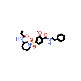 C=CC(=O)NC1CCCCN(S(=O)(=O)c2ccc(C(=O)NCCc3ccccc3)c(OC)c2)C1